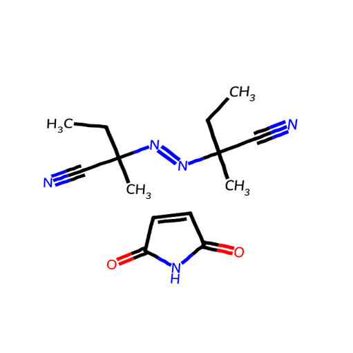 CCC(C)(C#N)N=NC(C)(C#N)CC.O=C1C=CC(=O)N1